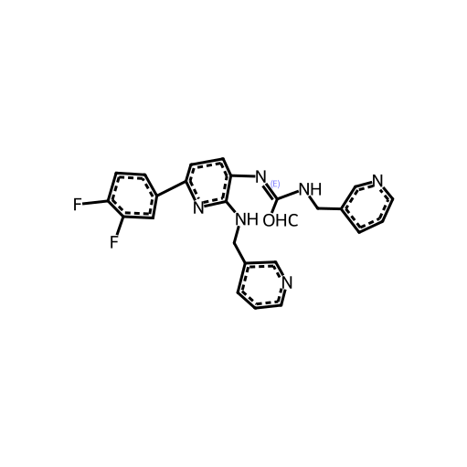 O=C/C(=N\c1ccc(-c2ccc(F)c(F)c2)nc1NCc1cccnc1)NCc1cccnc1